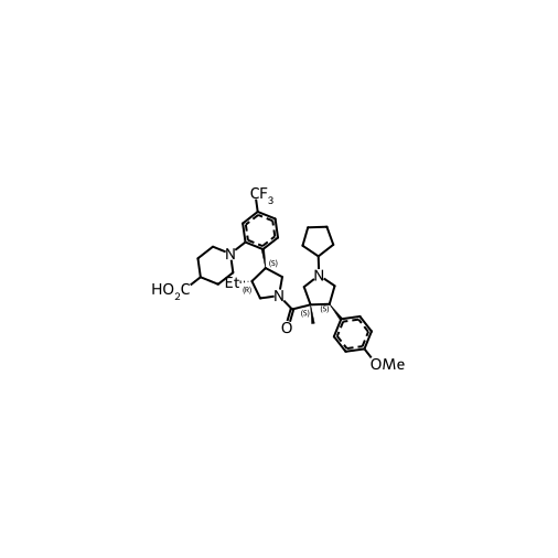 CC[C@H]1CN(C(=O)[C@]2(C)CN(C3CCCC3)C[C@H]2c2ccc(OC)cc2)C[C@@H]1c1ccc(C(F)(F)F)cc1N1CCC(C(=O)O)CC1